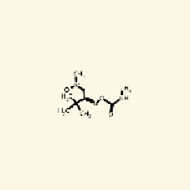 CNC(=O)ON=C(C[S+](C)[O-])C(C)(C)C